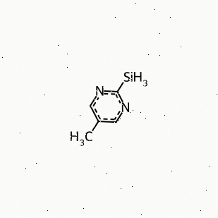 Cc1cnc([SiH3])nc1